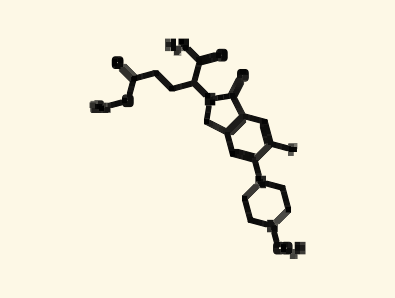 CC(C)(C)OC(=O)CCC(C(N)=O)N1Cc2cc(N3CCN(C(=O)O)CC3)c(F)cc2C1=O